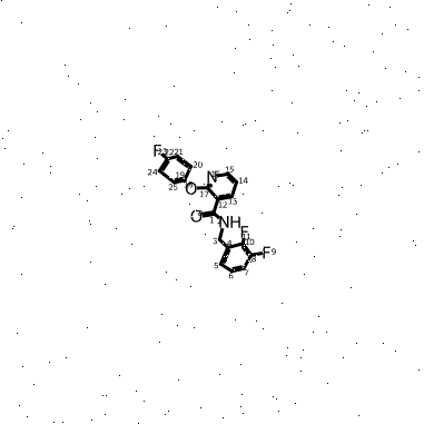 O=C(NCc1cccc(F)c1F)c1cccnc1Oc1ccc(F)cc1